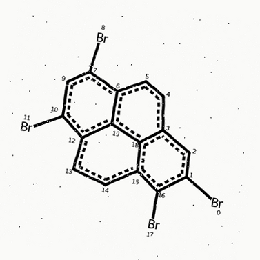 Brc1cc2ccc3c(Br)cc(Br)c4ccc(c1Br)c2c34